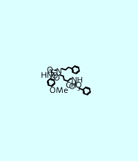 COc1ccc(NS(=O)(=O)CN(CCCc2ccccc2)C(=O)CCC(C)CNC(=O)OCc2ccccc2)cc1